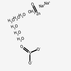 O.O.O.O.O.O.O.O=S([O-])[O-].[Na+].[Na+].[O]=[Zn]